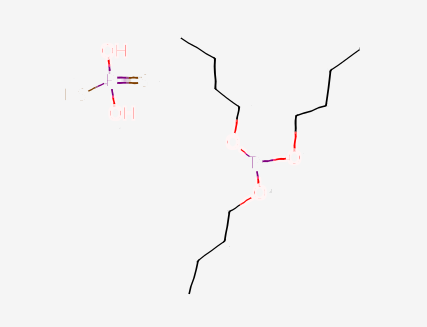 CCCCOP(OCCCC)OCCCC.OP(O)(=S)S